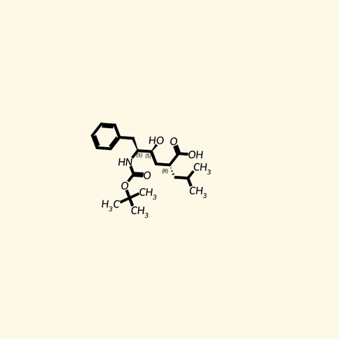 CC(C)C[C@H](C[C@H](O)[C@H](Cc1ccccc1)NC(=O)OC(C)(C)C)C(=O)O